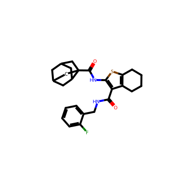 O=C(NCc1ccccc1F)c1c(NC(=O)C23CC4CC(CC2C4)C3)sc2c1CCCC2